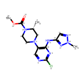 C[C@@H]1CN(c2cnc(Cl)nc2Nc2cnn(C)n2)CCN1C(=O)OC(C)(C)C